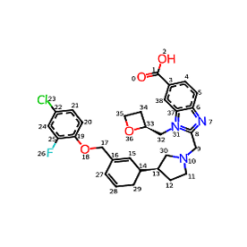 O=C(O)c1ccc2nc(CN3CC[C@@H](C4C=C(COc5ccc(Cl)cc5F)C=CC4)C3)n(C[C@@H]3CCO3)c2c1